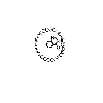 O=c1c2ccccc2ncn1C1CN2CCCCCCCCCCCCCCCCCCCCCC1CC2